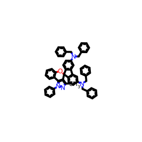 Cc1nn(-c2ccccc2)c2c1C1(Oc3ccccc3-2)c2ccc(N(Cc3ccccc3)Cc3ccccc3)cc2-c2cc(N(Cc3ccccc3)Cc3ccccc3)ccc21